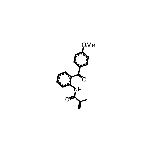 C=C(C)C(=O)Nc1ccccc1C(=O)c1ccc(OC)cc1